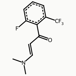 CN(C)C=CC(=O)c1c(F)cccc1C(F)(F)F